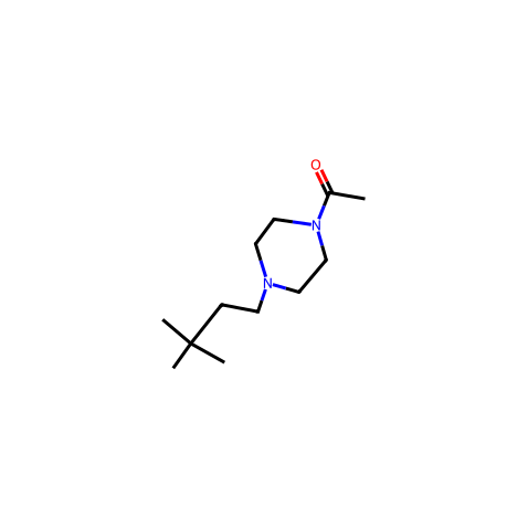 CC(=O)N1CCN(CCC(C)(C)C)CC1